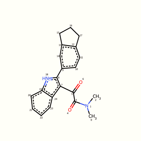 CN(C)C(=O)C(=O)c1c(-c2ccc3c(c2)CCC3)[nH]c2ccccc12